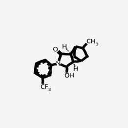 CC1CC2CCC1[C@@H]1C(=O)N(c3cccc(C(F)(F)F)c3)C(O)[C@H]21